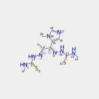 CNC(=S)N/N=C(C)/C(=N/NC(=S)NC)c1cncn1C